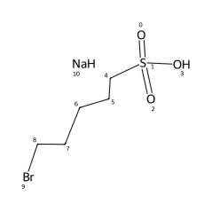 O=S(=O)(O)CCCCCBr.[NaH]